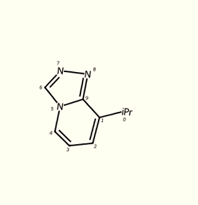 CC(C)c1cccn2cnnc12